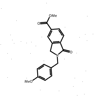 COC(=O)c1ccc2c(c1)CN(Cc1ccc(OC)cc1)C2=O